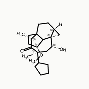 CO[C@@H]1CCC23CC[C@H]4C[C@@]4(C12)[C@H](O)C[C@@](C)(C1CCCC1)C(=O)[C@@H]3C